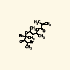 C=C(C)C(=O)OC(C)CC(C)OC(C)(CC)C(=O)C(C)Br